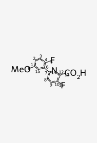 COc1ccc(F)c(-c2ccc(F)c(C(=O)O)n2)c1